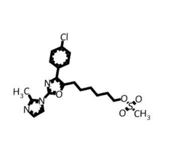 Cc1nccn1-c1nc(-c2ccc(Cl)cc2)c(CCCCCCOS(C)(=O)=O)o1